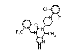 CC1c2n[nH]cc2N(Cc2ccccc2C(F)(F)F)C(=O)N1C1CCN(c2c(F)cccc2Cl)CC1